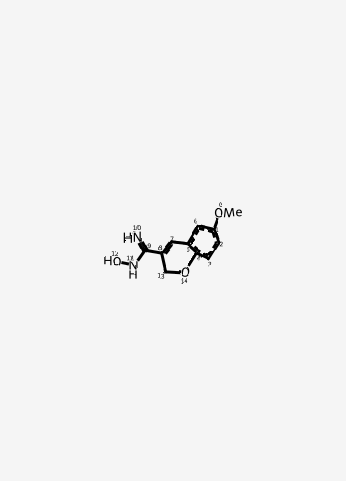 COc1ccc2c(c1)C=C(C(=N)NO)CO2